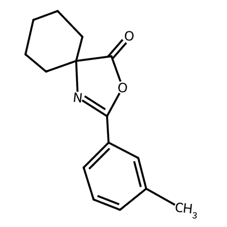 Cc1cccc(C2=NC3(CCCCC3)C(=O)O2)c1